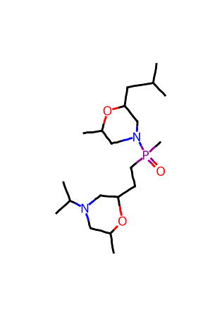 CC(C)CC1CN(P(C)(=O)CCC2CN(C(C)C)CC(C)O2)CC(C)O1